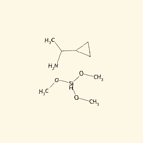 CC(N)C1CC1.CO[SiH](OC)OC